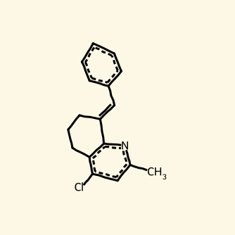 Cc1cc(Cl)c2c(n1)C(=Cc1ccccc1)CCC2